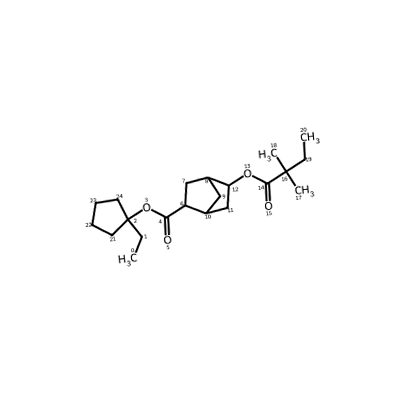 CCC1(OC(=O)C2CC3CC2CC3OC(=O)C(C)(C)CC)CCCC1